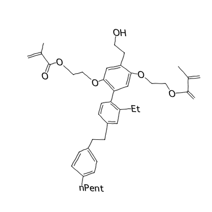 C=C(C)C(=C)OCCOc1cc(-c2ccc(CCc3ccc(CCCCC)cc3)cc2CC)c(OCCOC(=O)C(=C)C)cc1CCO